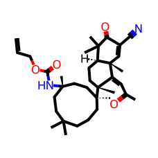 C=CCOC(=O)N[C@@]1(C)CCC(C)(C)CCC[C@](C)([C@]2(C)CC[C@H]3C(C)(C)C(=O)C(C#N)=C[C@]3(C)/C2=C/C(C)=O)CC1